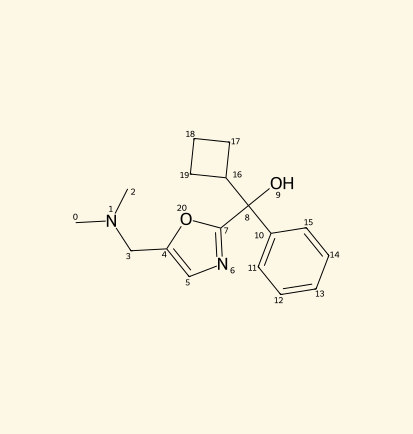 CN(C)Cc1cnc(C(O)(c2ccccc2)C2CCC2)o1